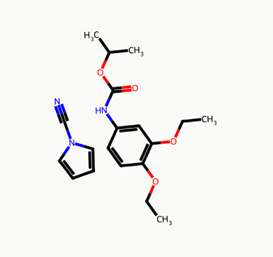 CCOc1ccc(NC(=O)OC(C)C)cc1OCC.N#Cn1cccc1